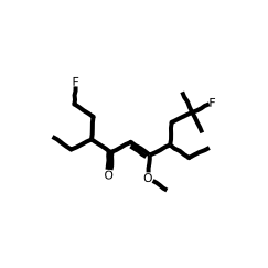 CCC(CCF)C(=O)/C=C(\OC)C(CC)CC(C)(C)F